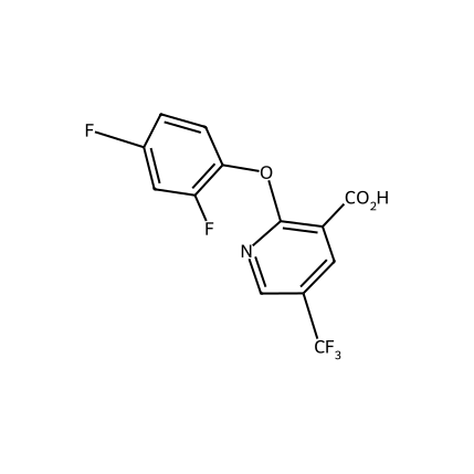 O=C(O)c1cc(C(F)(F)F)cnc1Oc1ccc(F)cc1F